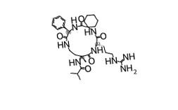 CC(C)C(=O)N[C@]1(C)CCNC(=O)[C@@H](c2ccccc2)NC(=O)C2(CCCCC2)NC(=O)[C@H](CCCNC(=N)N)NC1=O